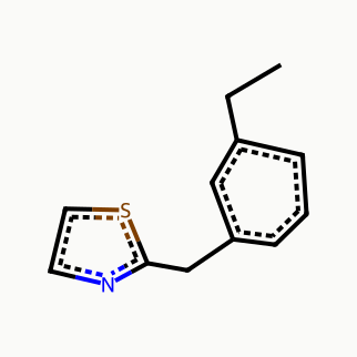 CCc1cccc(Cc2nccs2)c1